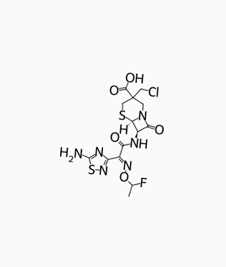 CC(F)ON=C(C(=O)N[C@@H]1C(=O)N2CC(CCl)(C(=O)O)CS[C@H]12)c1nsc(N)n1